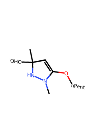 CCCCCOC1=CC(C)(C=O)NN1C